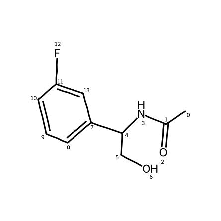 CC(=O)NC(CO)c1cccc(F)c1